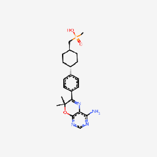 CC1(C)Oc2ncnc(N)c2N=C1c1ccc([C@H]2CC[C@H](CP(C)(=O)O)CC2)cc1